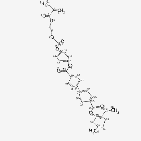 C=C(C)C(=O)OCCOC(=O)Oc1ccc(OC(=O)c2ccc(-c3ccc(C(=O)OC4CC(C)CCC4CC)cc3)cc2)cc1